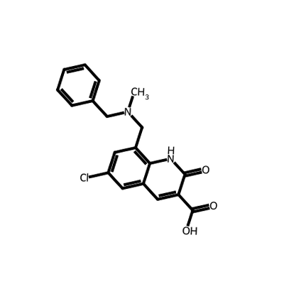 CN(Cc1ccccc1)Cc1cc(Cl)cc2cc(C(=O)O)c(=O)[nH]c12